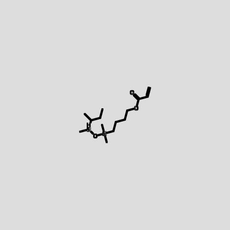 C=CC(=O)OCCCC[Si](C)(C)O[SiH](C)C(C)CC